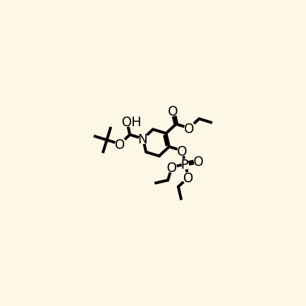 CCOC(=O)C1=C(OP(=O)(OCC)OCC)CCN(C(O)OC(C)(C)C)C1